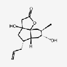 C=CC[C@@H]1C[C@]2(O)CC(=O)O[C@@]23C[C@@H](C)[C@H](O)C[C@H]13